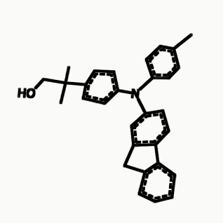 Cc1ccc(N(c2ccc(C(C)(C)CO)cc2)c2ccc3c(c2)Cc2ccccc2-3)cc1